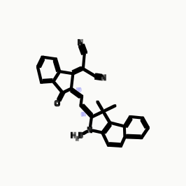 BN1/C(=C/C=C2\C(=O)c3ccccc3C2=C(C#N)C#N)C(C)(C)c2c1ccc1ccccc21